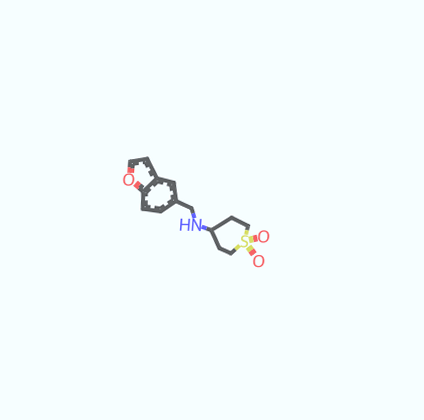 O=S1(=O)CCC(NCc2ccc3occc3c2)CC1